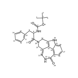 CC(C)(C)OC(=O)NC(Cc1ccccc1)C(=O)N1CC2=NNC(=O)c3cccc4[nH]c(c2c34)C1